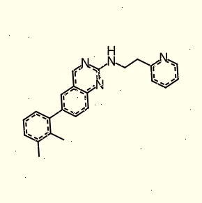 Cc1cccc(-c2ccc3nc(NCCc4ccccn4)ncc3c2)c1C